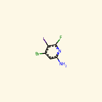 Nc1cc(Br)c(I)c(F)n1